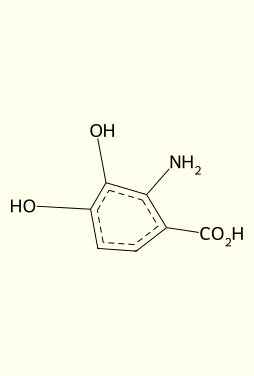 Nc1c(C(=O)O)ccc(O)c1O